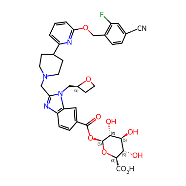 N#Cc1ccc(COc2cccc(C3CCN(Cc4nc5ccc(C(=O)O[C@@H]6O[C@H](C(=O)O)[C@@H](O)[C@H](O)[C@H]6O)cc5n4C[C@@H]4CCO4)CC3)n2)c(F)c1